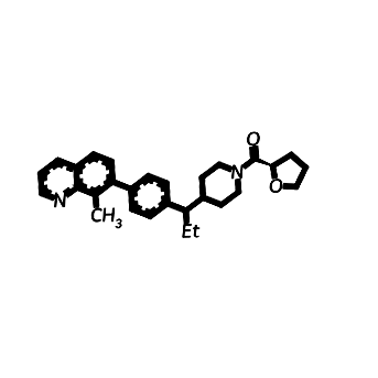 CCC(c1ccc(-c2ccc3cccnc3c2C)cc1)C1CCN(C(=O)[C@H]2CCCO2)CC1